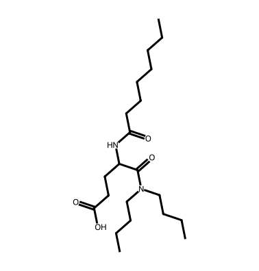 CCCCCCCC(=O)NC(CCC(=O)O)C(=O)N(CCCC)CCCC